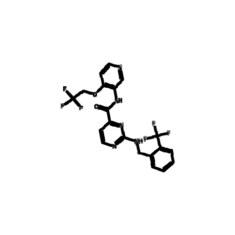 O=C(Nc1cnccc1OCC(F)(F)F)c1ccnc(NCc2ccccc2C(F)(F)F)n1